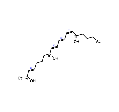 CC[C@@H](O)/C=C/CCC[C@@H](O)/C=C/C=C/C=C\[C@@H](O)CCCC(C)=O